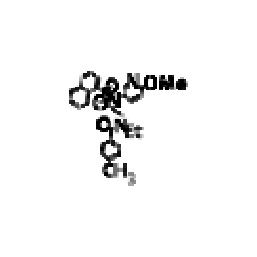 CCN(CCN(c1ccc(OC)nc1)S(=O)(=O)c1cccc2ccccc12)C(=O)c1ccc(C)cc1